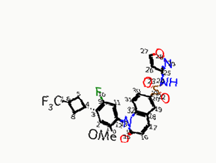 COc1cc([C@H]2C[C@H](C(F)(F)F)C2)c(F)cc1-n1c(=O)ccc2cc(S(=O)(=O)Nc3ccon3)ccc21